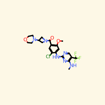 CNc1nc(Nc2cc(OC)c(C(=O)N3CC(N4CCOCC4)C3)cc2Cl)ncc1C(F)(F)F